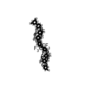 Cc1ccc(Oc2c(F)c(F)c(-c3c(F)c(F)c(Oc4ccc(C(c5ccc(Oc6c(F)c(F)c(-c7c(F)c(F)c(Oc8ccc(-c9cc(C)cc(C)c9)cc8)c(F)c7F)c(F)c6F)cc5)(C(F)(F)F)C(F)(F)F)cc4)c(F)c3F)c(F)c2F)cc1